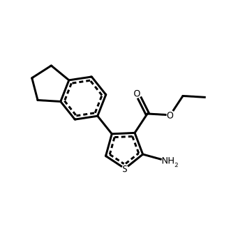 CCOC(=O)c1c(-c2ccc3c(c2)CCC3)csc1N